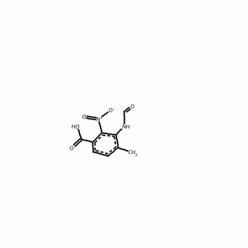 Cc1ccc(C(=O)O)c([N+](=O)[O-])c1NC=O